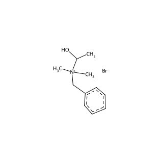 CC(O)[N+](C)(C)Cc1ccccc1.[Br-]